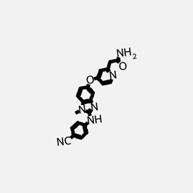 Cn1c(Nc2ccc(C#N)cc2)nc2cc(Oc3ccnc(CC(N)=O)c3)ccc21